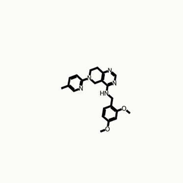 COc1ccc(CNc2ncnc3c2CN(c2ccc(C)cn2)CC3)c(OC)c1